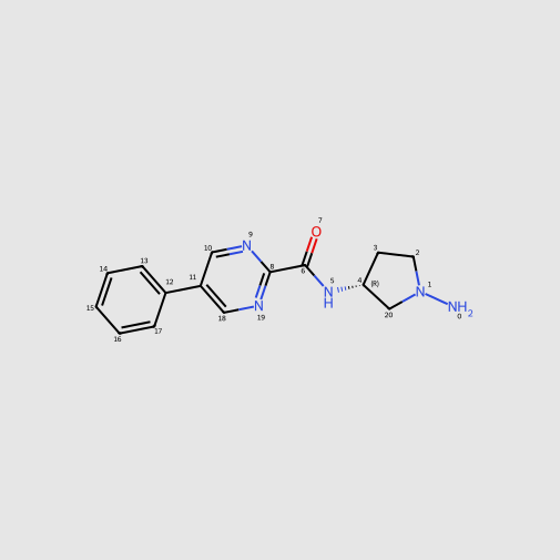 NN1CC[C@@H](NC(=O)c2ncc(-c3ccccc3)cn2)C1